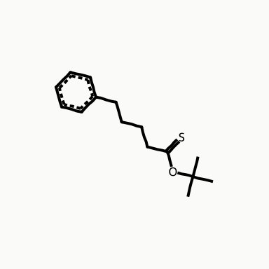 CC(C)(C)OC(=S)CCCCc1ccccc1